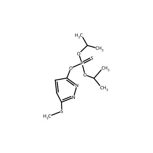 CSc1ccc(OP(=S)(OC(C)C)OC(C)C)nn1